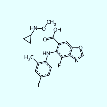 CONC1CC1.Cc1cc(I)ccc1Nc1c(C(=O)O)cc2ocnc2c1F